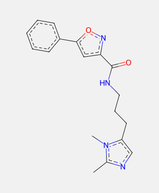 Cc1ncc(CCCNC(=O)c2cc(-c3ccccc3)on2)n1C